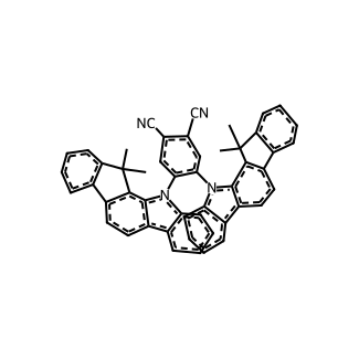 CC1(C)c2ccccc2-c2ccc3c4ccccc4n(-c4cc(C#N)c(C#N)cc4-n4c5ccccc5c5ccc6c(c54)C(C)(C)c4ccccc4-6)c3c21